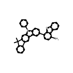 Bc1ccc(-c2ccc3c(c2)c2cc4c(cc2n3-c2ccccc2)C(C)(C)c2ccccc2-4)c2oc3ccccc3c12